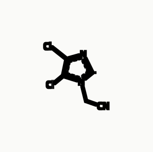 N#CCn1[c]nc(Cl)c1Cl